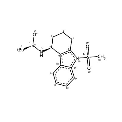 CC(C)(C)[S@@+]([O-])N[C@H]1CCCc2c1c1ccccc1n2S(C)(=O)=O